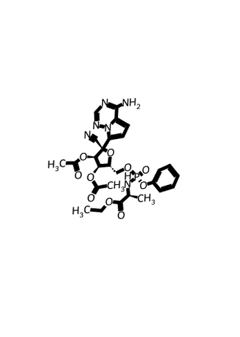 CCOC(=O)[C@H](C)NP(=O)(OC[C@H]1O[C@@](C#N)(c2ccc3c(N)ncnn23)[C@H](OC(C)=O)[C@@H]1OC(C)=O)Oc1ccccc1